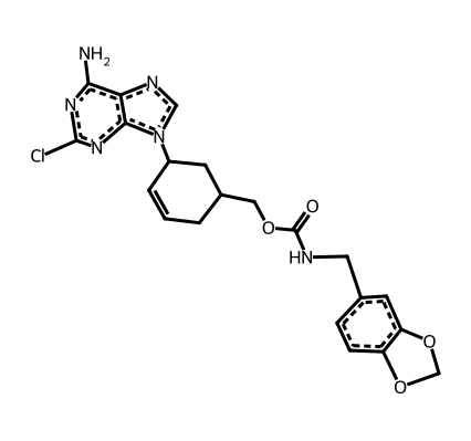 Nc1nc(Cl)nc2c1ncn2C1C=CCC(COC(=O)NCc2ccc3c(c2)OCO3)C1